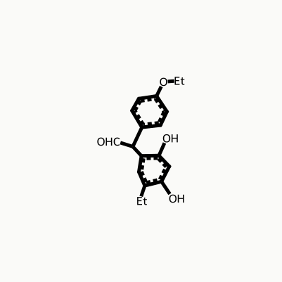 CCOc1ccc(C(C=O)c2cc(CC)c(O)cc2O)cc1